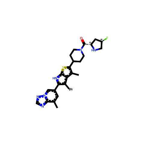 Cc1c(C2CCN(C(=O)[C@@H]3C[C@@H](F)CN3)CC2)sc2[nH]c(-c3cc(C)c4ncnn4c3)c(C(C)C)c12